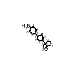 Bc1ccc(-c2ccc(C(CC)(CC)C(C)=O)cc2)cc1